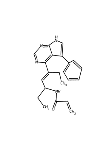 C=CC(=O)NC(/C=C(\CC)c1ncnc2[nH]cc(-c3ccccc3)c12)CC